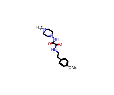 COc1ccc(CCNC(=O)C(=O)NN2CCN(C)CC2)cc1